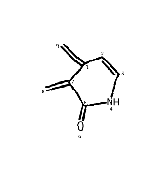 C=c1cc[nH]c(=O)c1=C